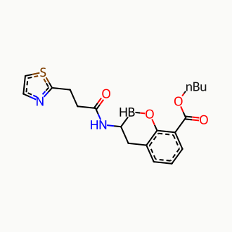 CCCCOC(=O)c1cccc2c1OBC(NC(=O)CCc1nccs1)C2